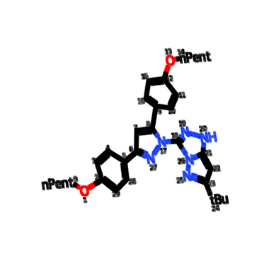 CCCCCOc1ccc(-c2cc(-c3ccc(OCCCCC)cc3)n(-c3n[nH]c4cc(C(C)(C)C)nn34)n2)cc1